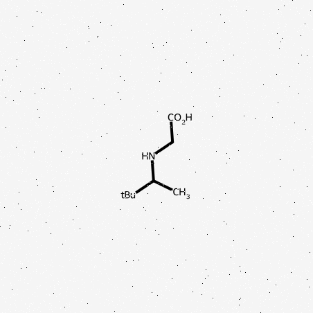 CC(NCC(=O)O)C(C)(C)C